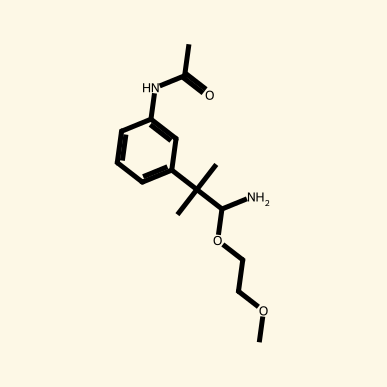 COCCOC(N)C(C)(C)c1cccc(NC(C)=O)c1